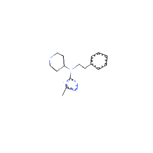 Cc1nnc(N(CCc2ccccc2)C2CCNCC2)[nH]1